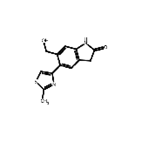 Cc1nc(-c2cc3c(cc2CO)NC(=O)C3)cs1